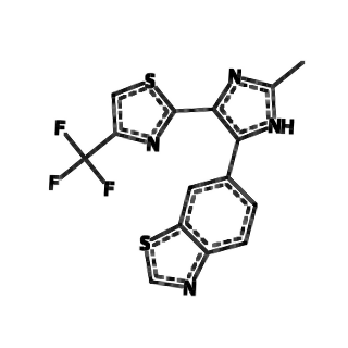 Cc1nc(-c2nc(C(F)(F)F)cs2)c(-c2ccc3ncsc3c2)[nH]1